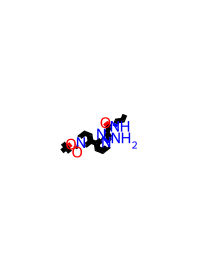 CCCNC(=O)c1nc2c(C3=CCCN(C(=O)OC(C)(C)C)C3)cccn2c1N